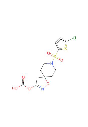 O=C(O)OC1=NOC2(CCN(S(=O)(=O)c3ccc(Cl)s3)CC2)C1